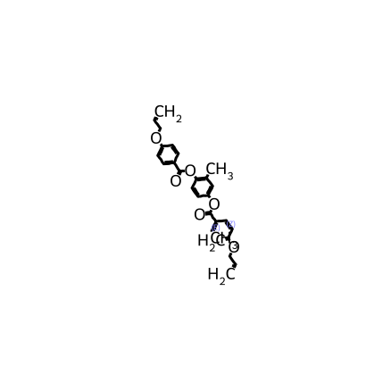 C=CCOC(=C)/C=C\C(=C/C)C(=O)Oc1ccc(OC(=O)c2ccc(OCC=C)cc2)c(C)c1